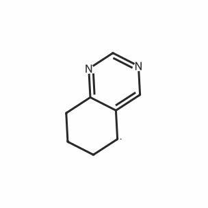 [CH]1CCCc2ncncc21